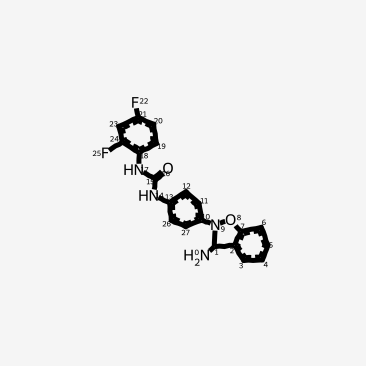 NC1c2ccccc2ON1c1ccc(NC(=O)Nc2ccc(F)cc2F)cc1